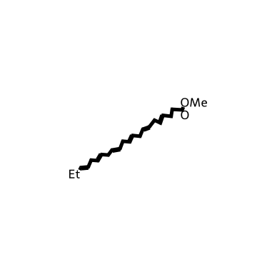 CC/C=C/C/C=C/C/C=C/C/C=C/C/C=C/C/C=C/CCC(=O)OC